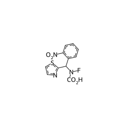 O=C(O)N(F)C(c1nccs1)c1ccccc1[N+](=O)[O-]